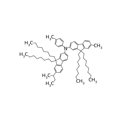 CCCCCCCCC1(CCCCCCCC)c2cc(C)ccc2-c2ccc(N(c3ccc(C)cc3)c3ccc4c(c3)C(CCCCCCCC)(CCCCCCCC)c3cc(C(C)CC)ccc3-4)cc21